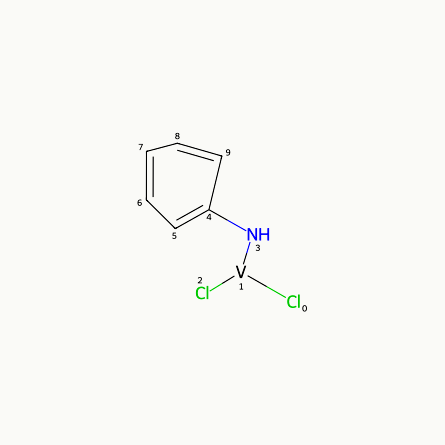 [Cl][V]([Cl])[NH]c1ccccc1